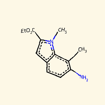 CCOC(=O)c1cc2ccc(N)c(C)c2n1C